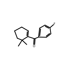 CC1(C)CCCC=C1C(=O)c1ccc(F)cc1